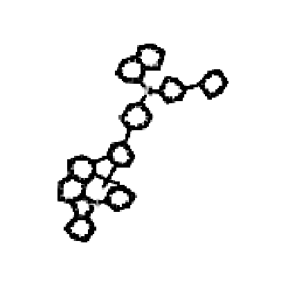 CC1(C)c2ccc(-c3ccc(N(c4ccc(-c5ccccc5)cc4)c4cccc5ccccc45)cn3)cc2-c2ccc3ccc4c5ccccc5n(-c5ccccc5)c4c3c21